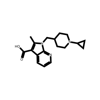 Cc1c(C(=O)O)c2cccnc2n1CC1CCN(C2CC2)CC1